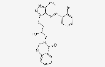 Cc1nnc(SCC(O)Cn2cnc3ccccc3c2=O)n1N=Cc1ccccc1Br